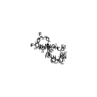 CCO[C@H]1CN(C)C(=O)[C@@H]2C[C@@H](CN2c2nc3nc4c2cnn4-c2ccc(F)cc2OC/C(F)=C/COC3)Nc2cccc(n2)-c2nccc3nc(C)n(c23)C1